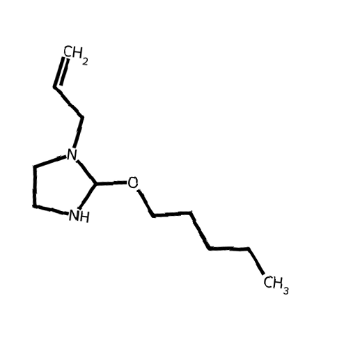 C=CCN1CCNC1OCCCCC